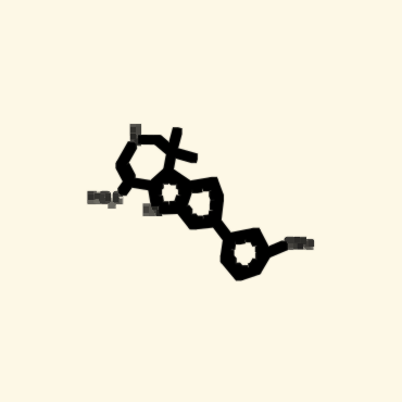 CCOC(=O)C1=CNCC(C)(C)c2c1[nH]c1cc(-c3cccc(OC)c3)ccc21